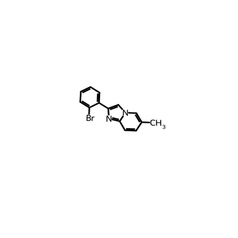 Cc1ccc2nc(-c3ccccc3Br)cn2c1